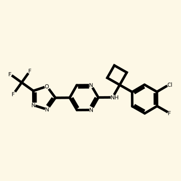 Fc1ccc(C2(Nc3ncc(-c4nnc(C(F)(F)F)o4)cn3)CCC2)cc1Cl